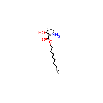 CCCCCCCCCCOC(=O)[C@@H](N)[C@@H](C)O